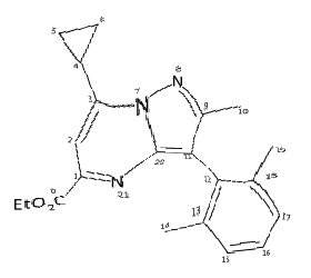 CCOC(=O)c1cc(C2CC2)n2nc(C)c(-c3c(C)cccc3C)c2n1